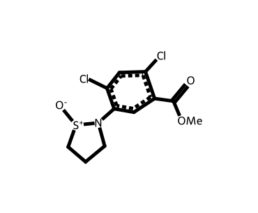 COC(=O)c1cc(N2CCC[S+]2[O-])c(Cl)cc1Cl